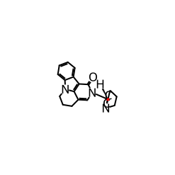 O=c1c2c3ccccc3n3c2c(cn1[C@@H]1CN2CCC1CC2)CCC3